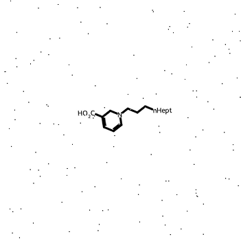 CCCCCCCCCCN1C=CC=C(C(=O)O)C1